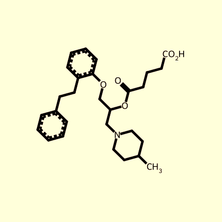 CC1CCN(CC(COc2ccccc2CCc2ccccc2)OC(=O)CCCC(=O)O)CC1